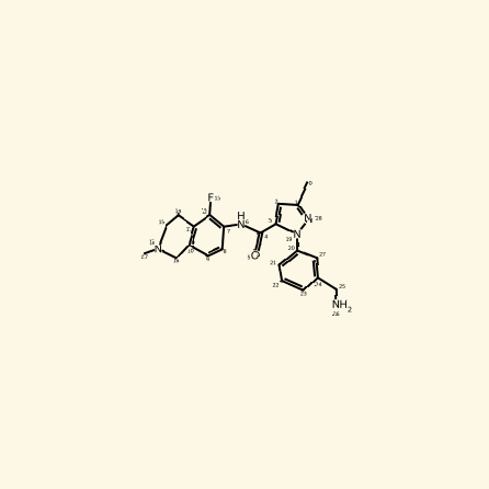 Cc1cc(C(=O)Nc2ccc3c(c2F)CCN(C)C3)n(-c2cccc(CN)c2)n1